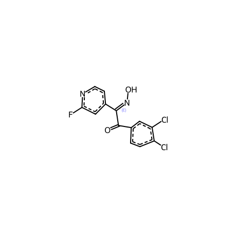 O=C(/C(=N/O)c1ccnc(F)c1)c1ccc(Cl)c(Cl)c1